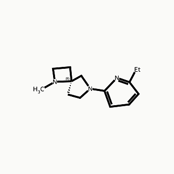 CCc1cccc(N2CC[C@]3(CCN3C)C2)n1